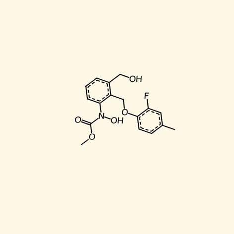 COC(=O)N(O)c1cccc(CO)c1COc1ccc(C)cc1F